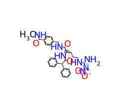 CNC(=O)c1ccc(CNC(=O)[C@@H](CCCN/C(N)=N\[N+](=O)[O-])NC(=O)C(c2ccccc2)c2ccccc2)cc1